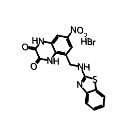 Br.O=c1[nH]c2cc([N+](=O)[O-])cc(CNc3nc4ccccc4s3)c2[nH]c1=O